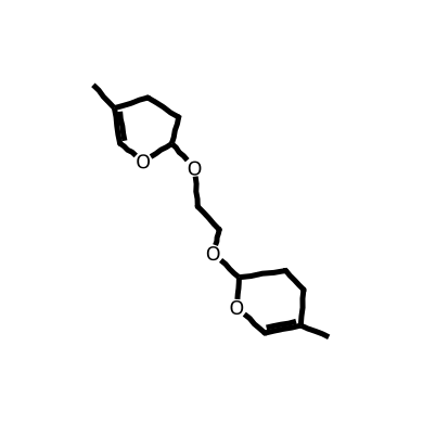 CC1=COC(OCCOC2CCC(C)=CO2)CC1